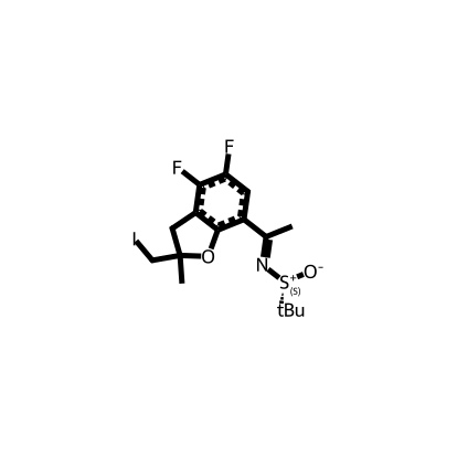 CC(=N[S@+]([O-])C(C)(C)C)c1cc(F)c(F)c2c1OC(C)(CI)C2